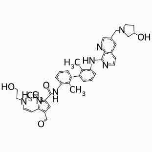 Cc1c(NC(=O)c2cc(C=O)c(/C=C\N(C)CCO)n2C)cccc1-c1cccc(Nc2nccc3cc(CN4CCC(O)C4)cnc23)c1C